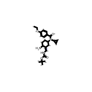 CCOc1ccc(C(=O)N(C2CC2)C2CCC(N)/C(=C\NC(=O)OC(C)(C)C)C2)cc1